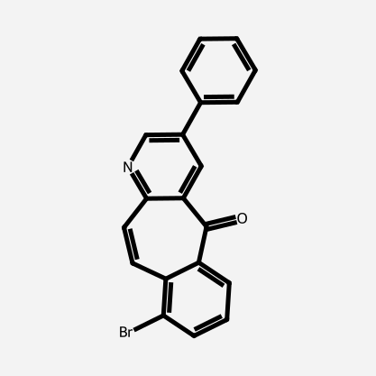 O=c1c2cc(-c3ccccc3)cnc2ccc2c(Br)cccc12